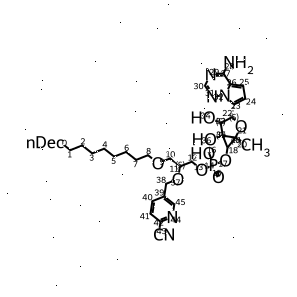 CCCCCCCCCCCCCCCCCCOC[C@@H](COP(=O)(O)OC1[C@@]2(C)O[C@@H](c3ccc4c(N)ncnn34)[C@H](O)[C@@]12O)OCc1ccc(C#N)nc1